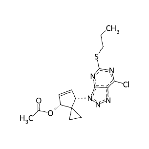 CCCSc1nc(Cl)c2nnn([C@H]3C=C[C@@H](OC(C)=O)C34CC4)c2n1